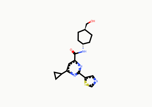 O=C(N[C@H]1CC[C@H](CO)CC1)c1cc(C2CC2)nc(-c2cncs2)n1